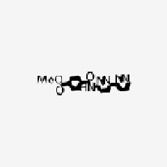 COC(=O)c1ccc(C(=O)Nc2ccc(-c3cccnn3)nn2)cc1